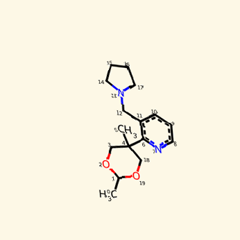 CC1OCC(C)(c2ncccc2CN2CCCC2)CO1